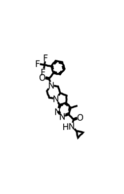 Cc1c(C(=O)NC2CC2)nnc2c1CC1CN(C(=O)c3ccccc3C(F)(F)F)CCN21